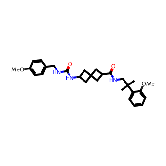 COc1ccc(CNC(=O)NC2CC3(C2)CC(C(=O)NCC(C)(C)c2ccccc2OC)C3)cc1